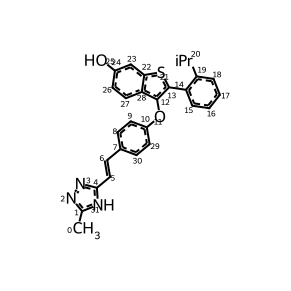 Cc1nnc(C=Cc2ccc(Oc3c(-c4ccccc4C(C)C)sc4cc(O)ccc34)cc2)[nH]1